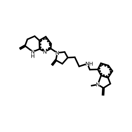 C=C1CCc2ccc(N3CC(CCNCc4cccc5c4N(C)C(=C)C5)CC3=C)nc2N1